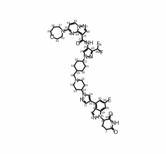 O=C1CCC(n2ncc3c(-c4cnn(C5CCN(CC6CCC(n7cc(NC(=O)c8cnn9ccc(N%10CCCOCC%10)nc89)c(C(F)F)n7)CC6)CC5)c4)cc(F)cc32)C(=O)N1